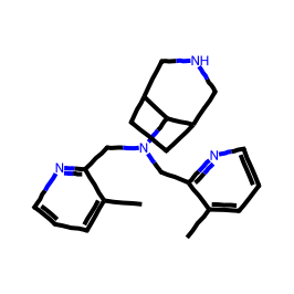 Cc1cccnc1CN(Cc1ncccc1C)C1C2CCC1CNC2